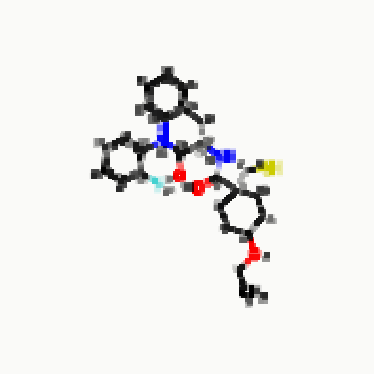 CCO[C@H]1CC[C@@](CS)(C(=O)N[C@@H](Cc2ccccc2)C(=O)Nc2ccccc2F)CC1